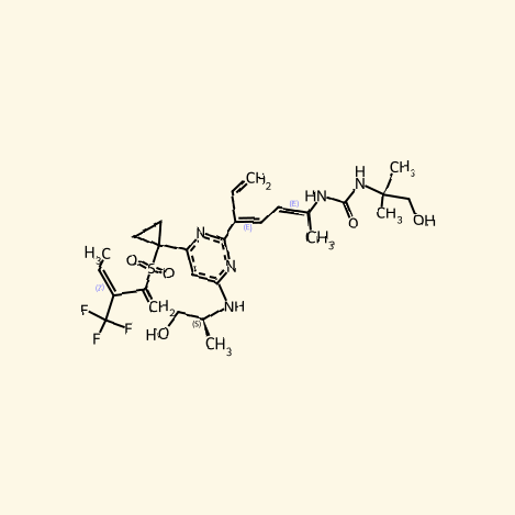 C=C/C(=C\C=C(/C)NC(=O)NC(C)(C)CO)c1nc(N[C@@H](C)CO)cc(C2(S(=O)(=O)C(=C)/C(=C\C)C(F)(F)F)CC2)n1